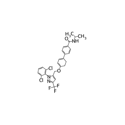 CC(C)NC(=O)c1ccc(C2=CC=C(OCc3cc(C(F)(F)F)nn3-c3c(Cl)cccc3Cl)CC2)cc1